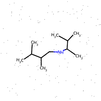 CC(C)C(C)CNC(C)C(C)C